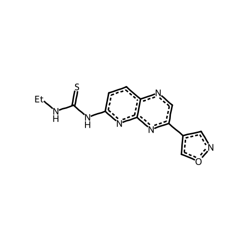 CCNC(=S)Nc1ccc2ncc(-c3cnoc3)nc2n1